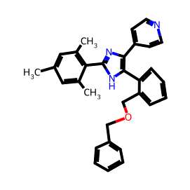 Cc1cc(C)c(-c2nc(-c3ccncc3)c(-c3ccccc3COCc3ccccc3)[nH]2)c(C)c1